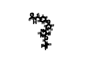 CC(=O)N[C@@H](C)c1ccc(O[C@@H]2CCN(c3ncnc(OC[C@H]4CC4(F)F)c3F)C2)cc1